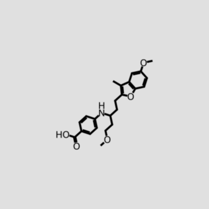 COCCC(CCc1oc2ccc(OC)cc2c1C)Nc1ccc(C(=O)O)cc1